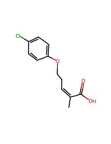 CC(=CCCOc1ccc(Cl)cc1)C(=O)O